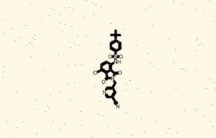 CC(C)(C)c1ccc(S(=O)(=O)Nc2ccc(Cl)c3c2C(=O)N(Cc2cncc(C#N)c2)C3=O)cc1